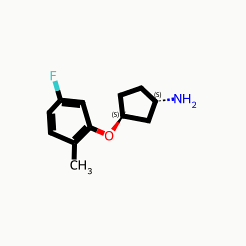 Cc1ccc(F)cc1O[C@H]1CC[C@H](N)C1